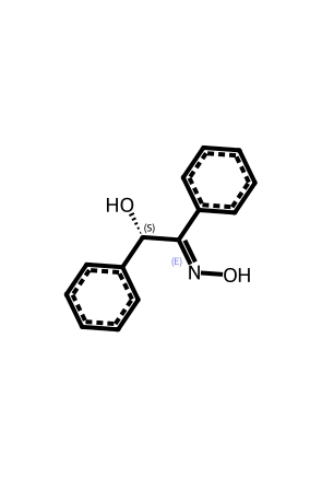 O/N=C(\c1ccccc1)[C@@H](O)c1ccccc1